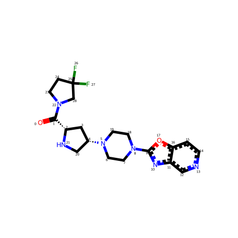 O=C([C@@H]1C[C@H](N2CCN(c3nc4cnccc4o3)CC2)CN1)N1CCC(F)(F)C1